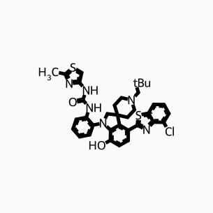 Cc1nc(NC(=O)Nc2ccccc2N2CC3(CCN(CC(C)(C)C)CC3)c3c(-c4nc5c(Cl)cccc5s4)ccc(O)c32)cs1